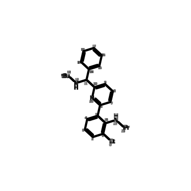 CCc1cccc(-c2cccc(C(NC(C)(C)C)c3ccccc3)n2)c1NC(C)C